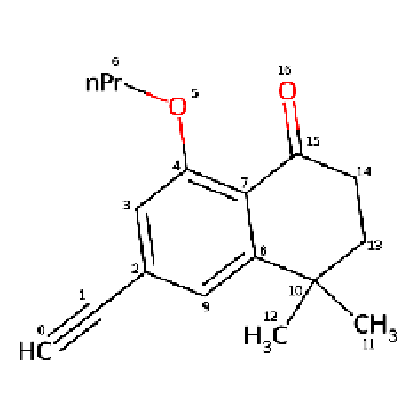 C#Cc1cc(OCCC)c2c(c1)C(C)(C)CCC2=O